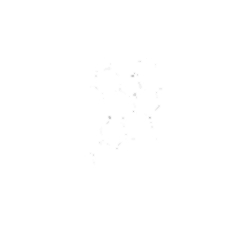 Cn1c2ccccc2c2c1ccc(=O)n2-c1ccc([N+](=O)[O-])cc1